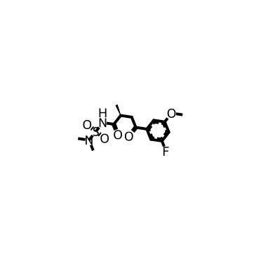 COc1cc(F)cc(C(=O)C[C@H](C)C(=O)NS(=O)(=O)N(C)C)c1